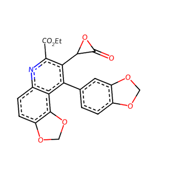 CCOC(=O)c1nc2ccc3c(c2c(-c2ccc4c(c2)OCO4)c1C1OC1=O)OCO3